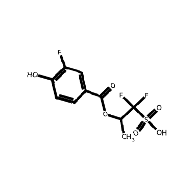 CC(OC(=O)c1ccc(O)c(F)c1)C(F)(F)S(=O)(=O)O